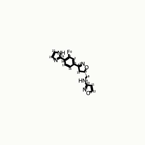 Fc1cc(C2=NO[C@H](CNc3ccon3)C2)ccc1-c1ncc[nH]1